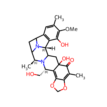 COc1c(C)cc2c(c1O)[C@@H]1C3CC4(O)C(=O)C(C)=C5OCOC5=C4[C@H](CO)N3[C@@H](C)C3CC2N31